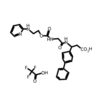 O=C(O)C(F)(F)F.O=C(O)CC(NC(=O)CNC(=O)OCCNc1ccccn1)c1ccc(-c2ccccc2)cc1